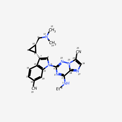 CCNc1nc(-n2cc([C@@H]3C[C@H]3CN(C)C)c3ccc(C#N)cc32)nn2c(C#N)cnc12